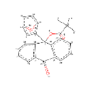 CC(C)(C)C(=O)OC1(c2cc3ccc2o3)c2ccccc2C(=O)c2ccccc21